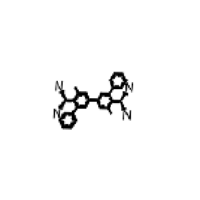 Cc1c/c(=c2/cc(C)c(=C(C#N)C#N)c(-c3ccccc3)c2)cc(-c2ccccc2)c1=C(C#N)C#N